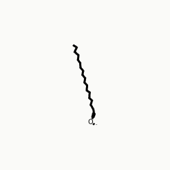 [CH2]OC#CCCCCCCCCCCCCCCCCCC